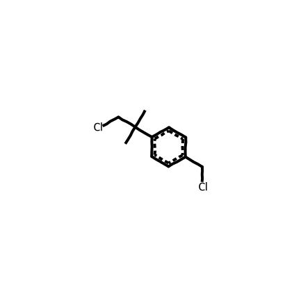 CC(C)(CCl)c1ccc(CCl)cc1